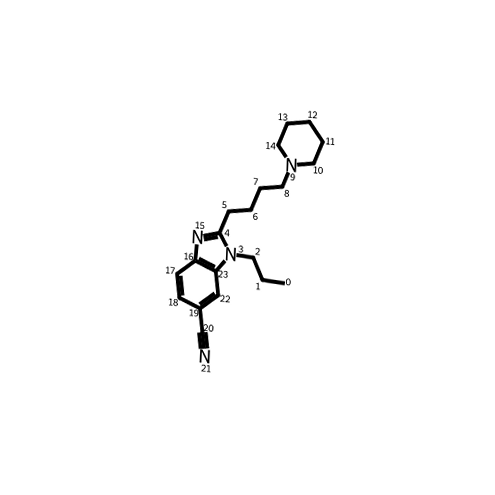 CCCn1c(CCCCN2CCCCC2)nc2ccc(C#N)cc21